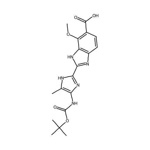 COc1c(C(=O)O)ccc2nc(-c3nc(NC(=O)OC(C)(C)C)c(C)[nH]3)[nH]c12